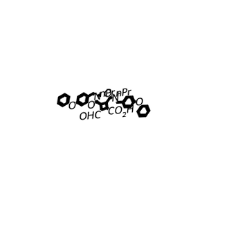 CCCN(Cc1ccc(Oc2ccccc2)cc1)C(=O)C1C(C=O)C(C(=O)O)C1C(=O)N(CCC)Cc1ccc(Oc2ccccc2)cc1